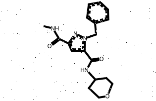 CNC(=O)c1cc(C(=O)NC2CCOCC2)n(Cc2ccccc2)n1